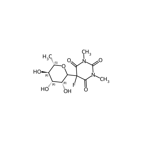 C[C@@H]1OC(C2(F)C(=O)N(C)C(=O)N(C)C2=O)[C@H](O)[C@H](O)[C@H]1O